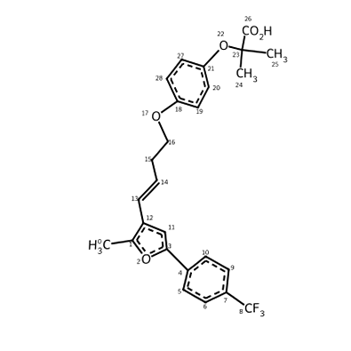 Cc1oc(-c2ccc(C(F)(F)F)cc2)cc1C=CCCOc1ccc(OC(C)(C)C(=O)O)cc1